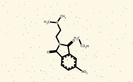 CC(=O)O.CN(C)CCN1C(=O)c2ccc([N+](=O)[O-])cc2C1=O